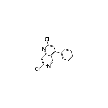 Clc1cc2nc(Cl)cc(-c3ccccc3)c2cn1